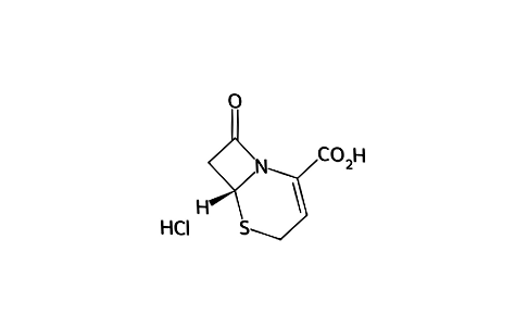 Cl.O=C(O)C1=CCS[C@@H]2CC(=O)N12